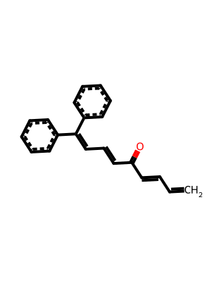 C=CC=CC(=O)C=CC=C(c1ccccc1)c1ccccc1